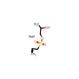 C=CCS(=O)(=O)OCC(C)O.[NaH]